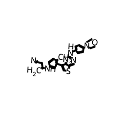 C=C(CC#N)Nc1ccc(C)c(-c2csc3cnc(Nc4ccc(N5CCOCC5)cc4)nc23)c1